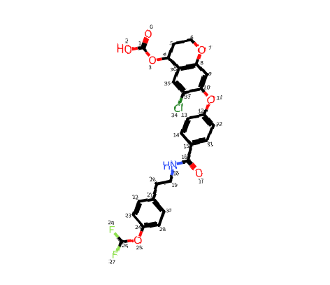 O=C(O)OC1CCOc2cc(Oc3ccc(C(=O)NCCc4ccc(OC(F)F)cc4)cc3)c(Cl)cc21